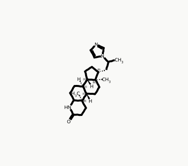 CC(C[C@H]1CC[C@H]2[C@@H]3CCC4NC(=O)CC[C@]4(C)[C@H]3CC[C@]12C)n1ccnc1